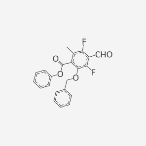 Cc1c(F)c(C=O)c(F)c(OCc2ccccc2)c1C(=O)Oc1ccccc1